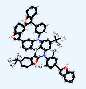 Cc1cc(-c2cc3ccccc3o2)cc(C)c1N1c2cc(C(C)(C)C)cc3c2B(c2ccc(-c4coc5ccccc45)cc2N3c2cccc(-c3coc4ccccc34)c2)c2c1oc1c2CC(C(C)(C)C)C=C1